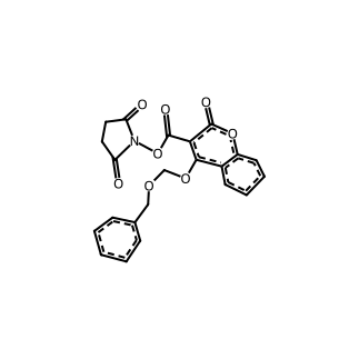 O=C(ON1C(=O)CCC1=O)c1c(OCOCc2ccccc2)c2ccccc2oc1=O